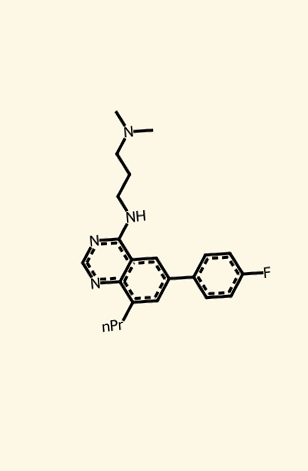 CCCc1cc(-c2ccc(F)cc2)cc2c(NCCCN(C)C)ncnc12